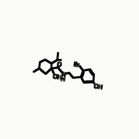 CC1CCC(C(C)C)C(O)(C(=O)NCCc2cc(O)ccc2Br)C1